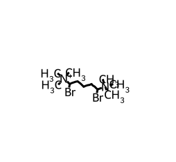 C[N+](C)(C)C(Br)CCCC(Br)[N+](C)(C)C